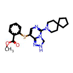 COC(=O)c1ccccc1SC1=CN=C(N2CCC3(CCCC3)CC2)N2CNN=C12